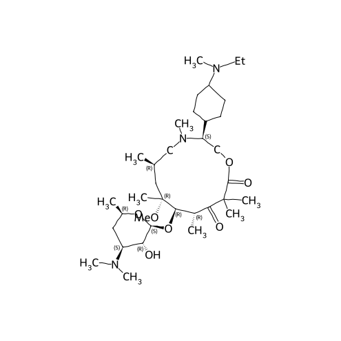 CCN(C)C1CCC([C@H]2COC(=O)C(C)(C)C(=O)[C@H](C)[C@@H](O[C@@H]3O[C@H](C)C[C@H](N(C)C)[C@H]3O)[C@](C)(OC)C[C@@H](C)CN2C)CC1